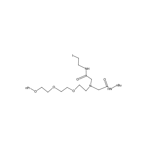 CCCCNC(=O)CN(CCOCCOCCOCCC)CC(=O)NCCI